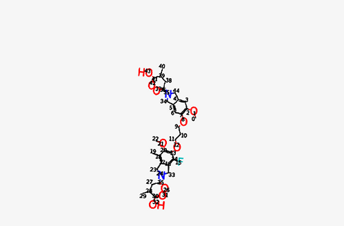 COc1cc2c(cc1OCCCOc1c(F)c3c(c(C)c1OC)CN(C(=O)CC(C)C(=O)O)C3)CN(C(=O)CC(C)C(=O)O)C2